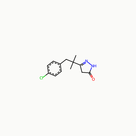 CC(C)(Cc1ccc(Cl)cc1)C1=NNC(=O)C1